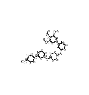 COc1cc(-c2cc(CN3CCN(Cc4ccnc(-c5ccc(Cl)cc5)c4)CC3)ccn2)cc(OC)c1OC